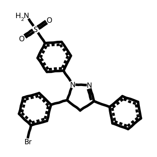 NS(=O)(=O)c1ccc(N2N=C(c3ccccc3)CC2c2cccc(Br)c2)cc1